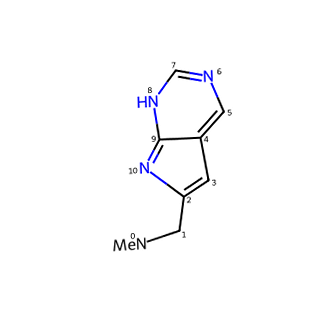 CNCc1cc2cnc[nH]c-2n1